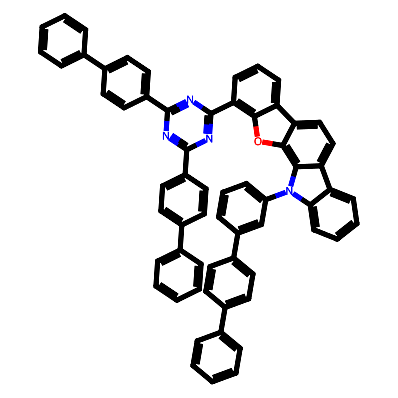 c1ccc(-c2ccc(-c3cccc(-n4c5ccccc5c5ccc6c7cccc(-c8nc(-c9ccc(-c%10ccccc%10)cc9)nc(-c9ccc(-c%10ccccc%10)cc9)n8)c7oc6c54)c3)cc2)cc1